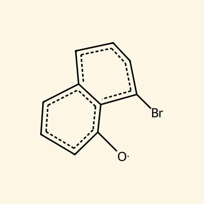 [O]c1cccc2cccc(Br)c12